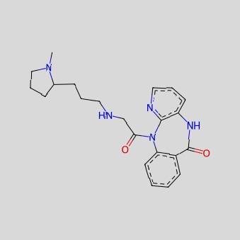 CN1CCCC1CCCNCC(=O)N1c2ccccc2C(=O)Nc2cccnc21